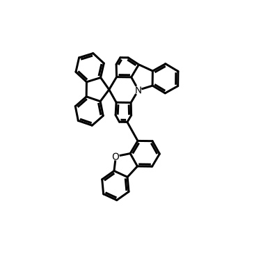 c1ccc2c(c1)-c1ccccc1C21c2ccc(-c3cccc4c3oc3ccccc34)cc2-n2c3ccccc3c3cccc1c32